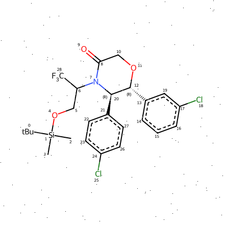 CC(C)(C)[Si](C)(C)OCC(N1C(=O)CO[C@H](c2cccc(Cl)c2)[C@H]1c1ccc(Cl)cc1)C(F)(F)F